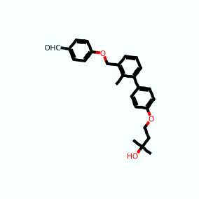 Cc1c(COc2ccc(C=O)cc2)cccc1-c1ccc(OCCC(C)(C)O)cc1